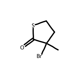 CC1(Br)CCSC1=O